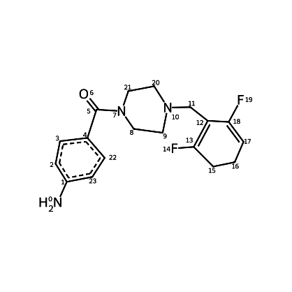 Nc1ccc(C(=O)N2CCN(CC3=C(F)CCC=C3F)CC2)cc1